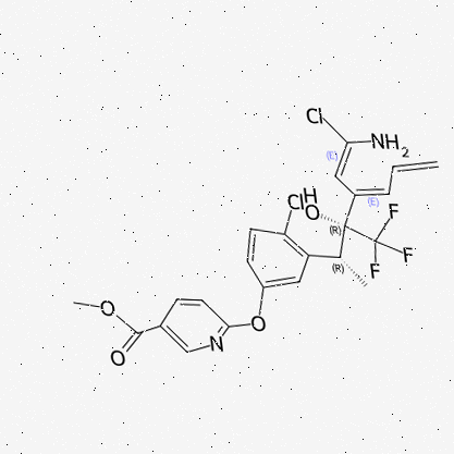 C=C/C=C(\C=C(/N)Cl)[C@](O)([C@H](C)c1cc(Oc2ccc(C(=O)OC)cn2)ccc1Cl)C(F)(F)F